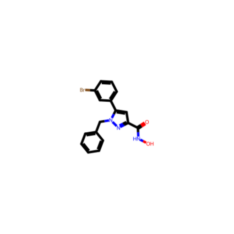 O=C(NO)c1cc(-c2cccc(Br)c2)n(Cc2ccccc2)n1